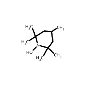 CC1CC(C)(C)N(O)C(C)(C)C1